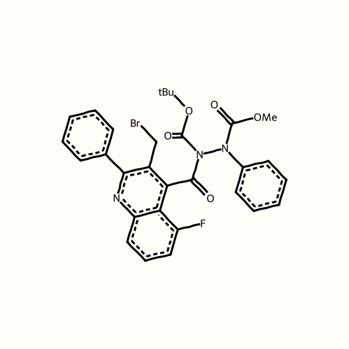 COC(=O)N(c1ccccc1)N(C(=O)OC(C)(C)C)C(=O)c1c(CBr)c(-c2ccccc2)nc2cccc(F)c12